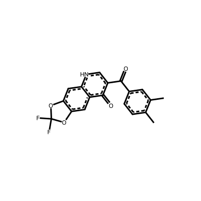 Cc1ccc(C(=O)c2c[nH]c3cc4c(cc3c2=O)OC(F)(F)O4)cc1C